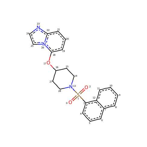 O=S(=O)(c1cccc2ccccc12)N1CCC(Oc2cccc3nccn23)CC1